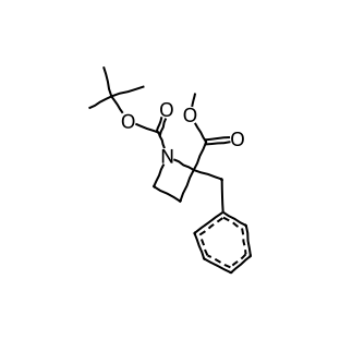 COC(=O)C1(Cc2ccccc2)CCN1C(=O)OC(C)(C)C